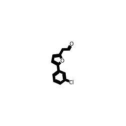 O=CCc1ccc(-c2cccc(Cl)c2)o1